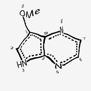 COc1c[nH]c2nccnc12